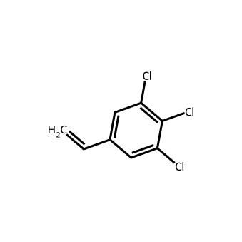 C=Cc1cc(Cl)c(Cl)c(Cl)c1